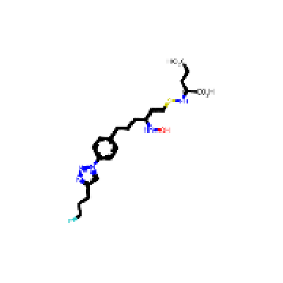 O=C(O)CC[C@H](NSCCC(CCCc1ccc(-n2cc(CCCF)nn2)cc1)NO)C(=O)O